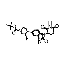 Cn1c(=O)n(C2CCC(=O)NC2=O)c2ccc(C3CCN(C(=O)OC(C)(C)C)CC3F)cc21